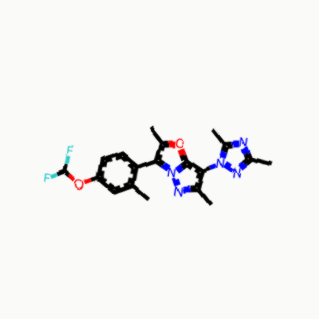 Cc1nc(C)n(-c2c(C)nn3c(-c4ccc(OC(F)F)cc4C)c(C)oc23)n1